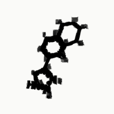 c1[nH]nnc1-c1ccc2c(n1)CCCC2